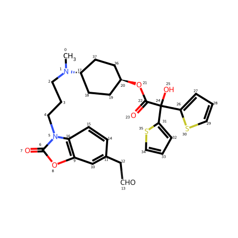 CN(CCCn1c(=O)oc2cc(CC=O)ccc21)[C@H]1CC[C@H](OC(=O)C(O)(c2cccs2)c2cccs2)CC1